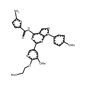 COCCOc1ncc(-c2nc(NC(=O)c3ccc([N+](=O)[O-])s3)c3cnn(-c4ccc(OC)cc4)c3n2)cc1OC